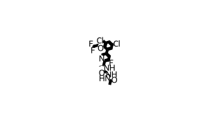 CC(=O)NNC(=O)N[C@H](C)c1ncc(-c2cc(Cl)cc(Cl)c2OCC(F)F)cc1F